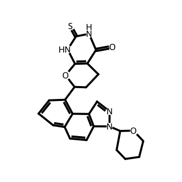 O=c1[nH]c(=S)[nH]c2c1CCC(c1cccc3ccc4c(cnn4C4CCCCO4)c13)O2